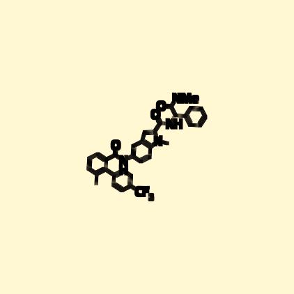 CNC(=O)[C@@H](NC(=O)c1cc2cc(NC(=O)c3cccc(C)c3-c3ccc(C(F)(F)F)cc3)ccc2n1C)c1ccccc1